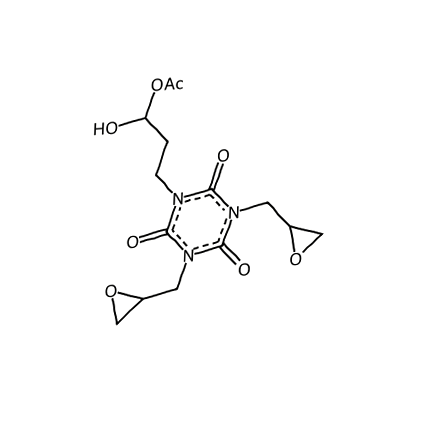 CC(=O)OC(O)CCn1c(=O)n(CC2CO2)c(=O)n(CC2CO2)c1=O